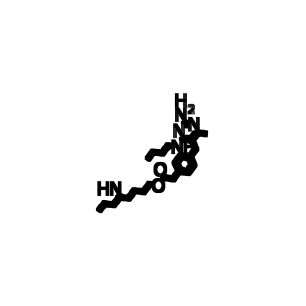 CCCCNc1nc(N)nc(C)c1Cc1ccc(CC(=O)OCCCCC(=N)CCC)cc1